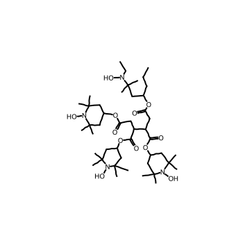 CCCC(CC(C)(C)N(O)CC)OC(=O)CC(C(=O)OC1CC(C)(C)N(O)C(C)(C)C1)C(CC(=O)OC1CC(C)(C)N(O)C(C)(C)C1)C(=O)OC1CC(C)(C)N(O)C(C)(C)C1